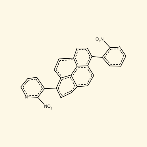 O=[N+]([O-])c1ncccc1-c1ccc2ccc3c(-c4cccnc4[N+](=O)[O-])ccc4ccc1c2c43